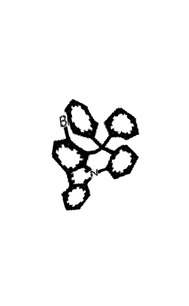 Brc1ccc2c3ccccc3n3c2c1C(c1ccccc1)(c1ccccc1)c1ccccc1-3